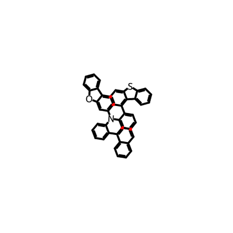 c1ccc(N(c2ccc3c(c2)oc2ccccc23)c2ccccc2-c2cccc3sc4ccccc4c23)c(-c2cccc3ccccc23)c1